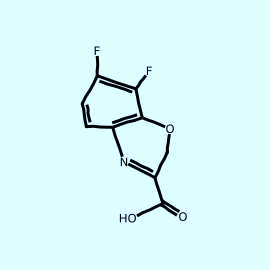 O=C(O)C1=Nc2ccc(F)c(F)c2OC1